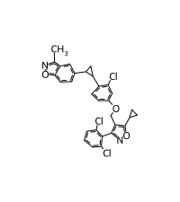 Cc1noc2ccc(C3CC3c3ccc(OCc4c(-c5c(Cl)cccc5Cl)noc4C4CC4)cc3Cl)cc12